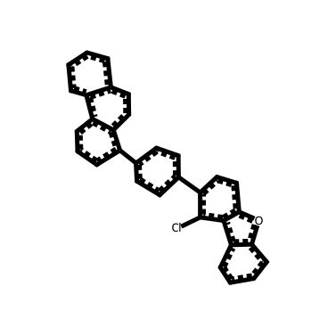 Clc1c(-c2ccc(-c3cccc4c3ccc3ccccc34)cc2)ccc2oc3ccccc3c12